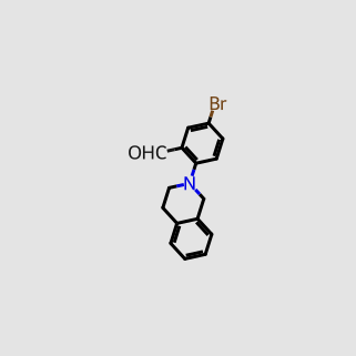 O=Cc1cc(Br)ccc1N1CCc2ccccc2C1